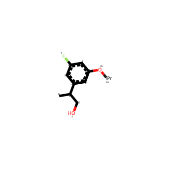 C[C](CO)c1cc(F)cc(OC(C)C)c1